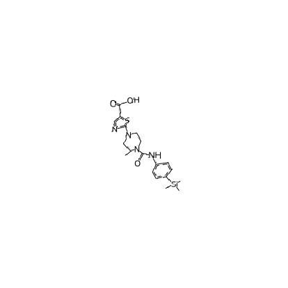 CC1CN(c2ncc(C(=O)O)s2)CCN1C(=O)Nc1ccc([Si](C)(C)C)cc1